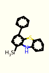 [SiH3]c1ccc(-c2ccccc2)c2c1Nc1ccccc1S2